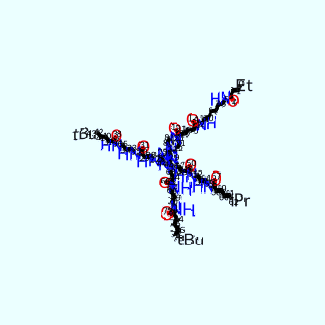 CC/C=C/C(=O)NCCCCCCNC(=O)CCCC(=O)N1CCN(c2nc(NCCC(=O)NCCCNC(=O)CCCCC(C)(C)C)nc(N(CCC(=O)NCCCNC(=O)CCCCC(C)C)CCC(=O)NCCCNC(=O)CCCCC(C)(C)C)n2)CC1